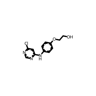 OCCOc1ccc(Nc2cc(Cl)ncn2)cc1